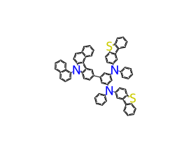 c1ccc(N(c2cc(-c3ccc4c(c3)c3c5ccccc5ccc3n4-c3cccc4ccccc34)cc(N(c3ccccc3)c3ccc4sc5ccccc5c4c3)c2)c2ccc3sc4ccccc4c3c2)cc1